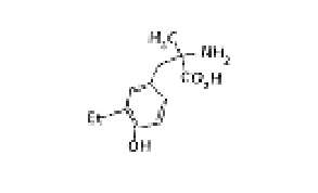 CCc1cc(CC(C)(N)C(=O)O)ccc1O